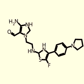 NC1=C(C=O)N(CCNC2NC(c3ccc(N4CCCC4)cc3)=C(F)S2)CN1